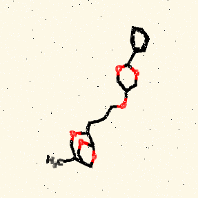 CC1COC(CCCOC2COC(c3ccccc3)OC2)C2OCC1CO2